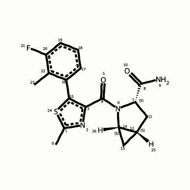 Cc1nc(C(=O)N2[C@H](C(N)=O)C[C@@H]3C[C@@H]32)c(-c2cccc(F)c2C)s1